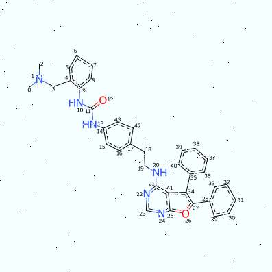 CN(C)Cc1ccccc1NC(=O)Nc1ccc(CCNc2ncnc3oc(-c4ccccc4)c(-c4ccccc4)c23)cc1